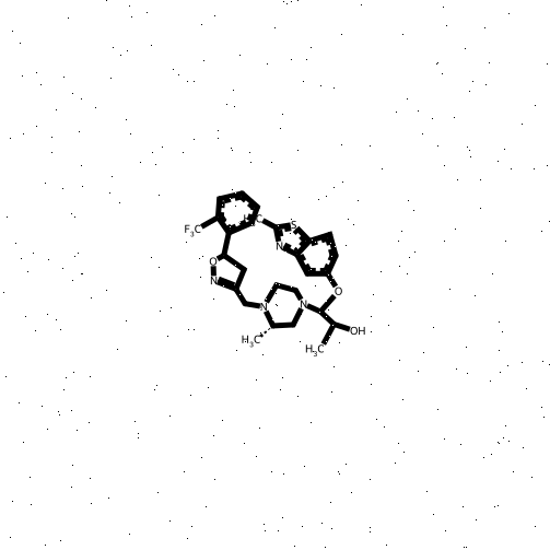 Cc1nc2cc(OC(C(C)O)N3CCN(CC4=NOC(c5ccccc5C(F)(F)F)C4)[C@@H](C)C3)ccc2s1